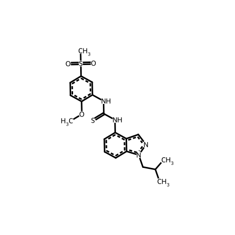 COc1ccc(S(C)(=O)=O)cc1NC(=S)Nc1cccc2c1cnn2CC(C)C